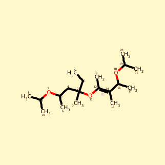 CCC(C)(CC(C)OC(C)C)O/C(C)=C(\C)C(C)OC(C)C